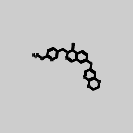 COc1ccc(Cn2ncc3cc(Sc4cnc5c(c4)OCCO5)ccc3c2=O)cn1